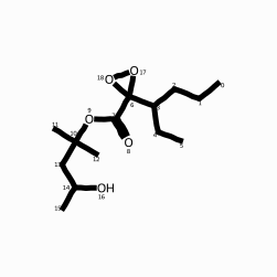 CCCC(CC)C1(C(=O)OC(C)(C)CC(C)O)OO1